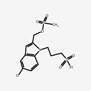 CCS(=O)(=O)CCCn1c(COS(C)(=O)=O)cc2cc(Cl)ccc21